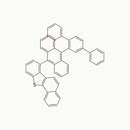 c1ccc(-c2ccc(-c3ccccc3)c(-c3c4ccccc4c(-c4cccc5sc6c7ccccc7ccc6c45)c4ccccc34)c2)cc1